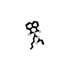 C=CC(=O)OC(CCCCC)N1C(=O)c2cccc3cccc(c23)C1=O